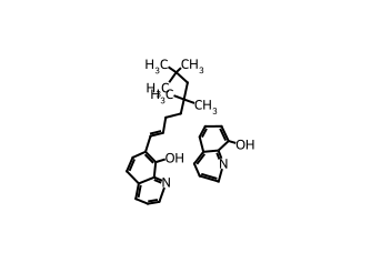 CC(C)(C)CC(C)(C)CCC=Cc1ccc2cccnc2c1O.Oc1cccc2cccnc12